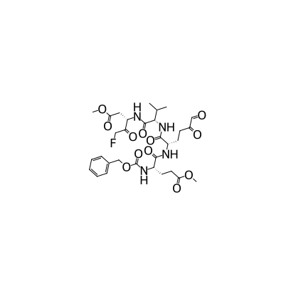 COC(=O)CC[C@H](NC(=O)OCc1ccccc1)C(=O)N[C@@H](CCC(=O)C=O)C(=O)N[C@H](C(=O)N[C@@H](CC(=O)OC)C(=O)CF)C(C)C